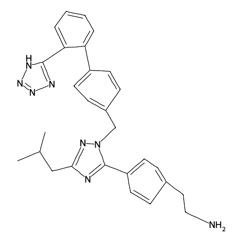 CC(C)Cc1nc(-c2ccc(CCN)cc2)n(Cc2ccc(-c3ccccc3-c3nnn[nH]3)cc2)n1